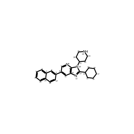 c1ccc2cc(-c3cnc4c(c3)nc(C3CCCCC3)n4C3CCNCC3)ccc2c1